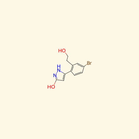 OCCc1cc(Br)ccc1-c1cc(O)n[nH]1